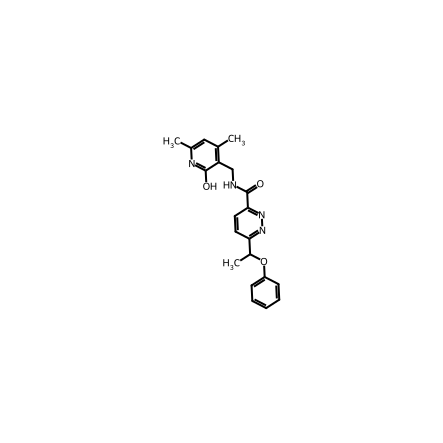 Cc1cc(C)c(CNC(=O)c2ccc(C(C)Oc3ccccc3)nn2)c(O)n1